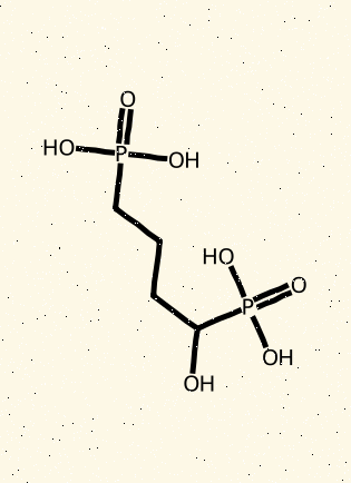 O=P(O)(O)CCCC(O)P(=O)(O)O